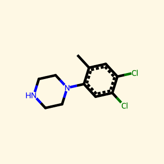 Cc1cc(Cl)c(Cl)cc1N1CCNCC1